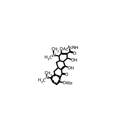 COc1ccc(N(C)C)c2c1C(=O)C1=C(O)C3C(O)C(C(=O)NC(C)=O)=C(OC(C)=O)C(N(C)C)C3CC1C2